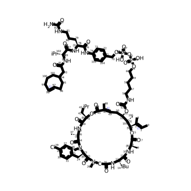 C/C=C(\C)[C@H]1OC(=O)[C@@H](C)NC(=O)[C@H](C(C)CC)NC(=O)CN(C)C(=O)[C@@H](Cc2ccc(Cl)cc2)N(C)C(=O)[C@H](C)NC(=O)[C@@H](CC(C)C)OC(=O)/C(C)=C/C[C@H](OC(=O)NCCCCCOP(=O)(O)OP(=O)(O)OCc2ccc(NC(=O)[C@H](CCCNC(N)=O)NC(=O)[C@H](NC(=O)CC3CC/C=C/CCC3)C(C)C)cc2)[C@@H]1C